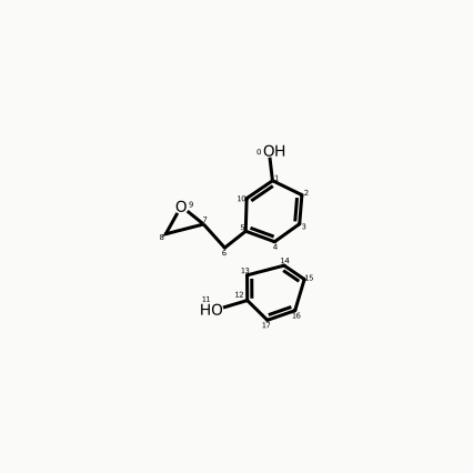 Oc1cccc(CC2CO2)c1.Oc1ccccc1